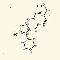 C=CCO[C@H]1C[C@@H](O)[C@H](N2CCOCC2)[C@H]1CC/C=C\CCC(=O)O